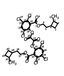 CC1CCC1CCOC(=O)c1c(Cl)c(Cl)cc(Cl)c1OC(=O)C(=O)Oc1c(Cl)cc(Cl)c(Cl)c1C(=O)OCCC1CCC1C